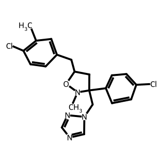 Cc1cc(CC2CC(Cn3cncn3)(c3ccc(Cl)cc3)N(C)O2)ccc1Cl